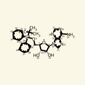 CC(C)(C)[Si](OC[C@H]1O[C@@H](n2cnc3c(N)ncnc32)[C@H](O)[C@@H]1O)(c1ccccc1)c1ccccc1